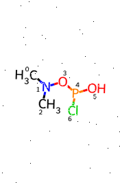 CN(C)OP(O)Cl